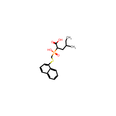 CCC(C)CC(C(=O)O)P(=O)(O)CSc1cccc2ccccc12